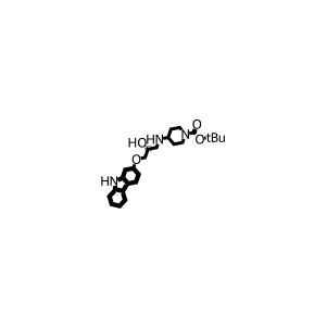 CC(C)(C)OC(=O)N1CCC(NC[C@H](O)COc2ccc3c(c2)[nH]c2ccccc23)CC1